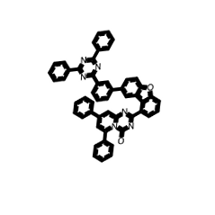 O=c1nc(-c2cccc3oc4ccc(-c5cccc(-c6nc(-c7ccccc7)nc(-c7ccccc7)n6)c5)cc4c23)nc2cc(-c3ccccc3)cc(-c3ccccc3)n12